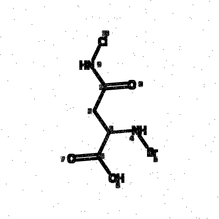 O=C(CC(NBr)C(=O)O)NCl